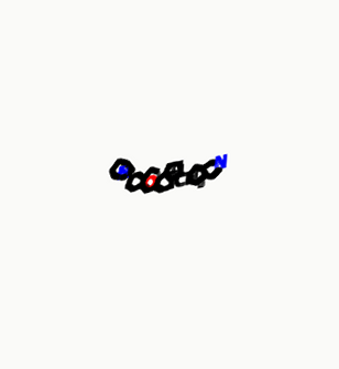 C[C@]12CC=C3C=C4CC[C@@H](N5C6CCC5CC6)CC45CC[C@]3(O5)[C@@H]1CC[C@@H]2c1ccc2ccncc2c1